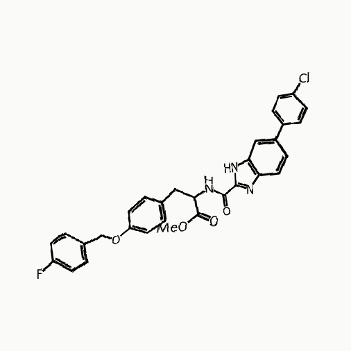 COC(=O)C(Cc1ccc(OCc2ccc(F)cc2)cc1)NC(=O)c1nc2ccc(-c3ccc(Cl)cc3)cc2[nH]1